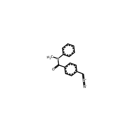 CN(C(=O)c1ccc(C=[N+]=[N-])cc1)c1ccccc1